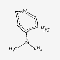 CN(C)c1ccncc1.[Li+].[OH-]